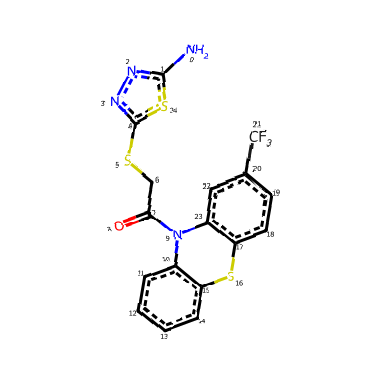 Nc1nnc(SCC(=O)N2c3ccccc3Sc3ccc(C(F)(F)F)cc32)s1